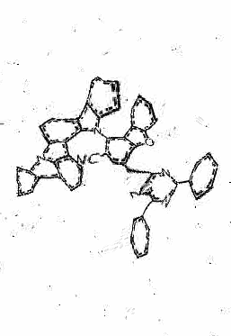 N#Cc1cc(-c2nc(-c3ccccc3)nc(-c3ccccc3)n2)c2oc3ccccc3c2c1-n1c2ccccc2c2ccc3c(c4cccc5c6ccccc6n3c54)c21